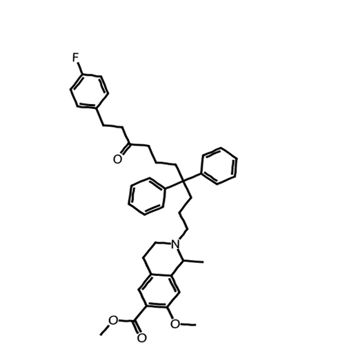 COC(=O)c1cc2c(cc1OC)C(C)N(CCCC(CCCC(=O)CCc1ccc(F)cc1)(c1ccccc1)c1ccccc1)CC2